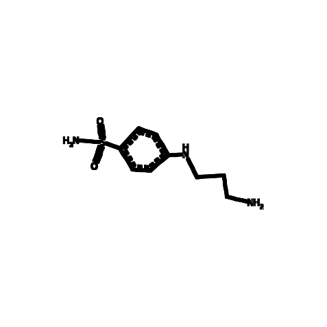 NCCCNc1ccc(S(N)(=O)=O)cc1